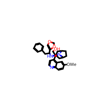 COc1ccc2nccc(C(CO)N3C4CCC3CC(NC(Cc3ccccc3)C3=COCO3)C4)c2c1